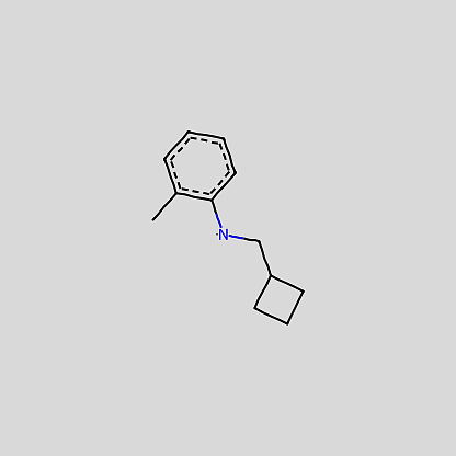 Cc1ccccc1[N]CC1CCC1